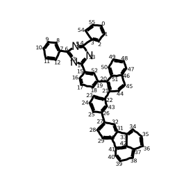 c1ccc(-c2nc(-c3ccccc3)nc(-c3cccc(-c4c(-c5cccc(-c6ccc7c(c6)-c6cccc8cccc-7c68)c5)ccc5ccccc45)c3)n2)cc1